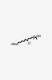 CCCCCCCCCCCCCCCCCC[N+](C)(C)C(C)O.[Cl-]